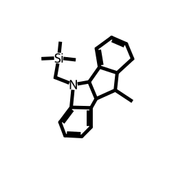 CC1C2CC=CC=C2C2C1c1ccccc1N2C[Si](C)(C)C